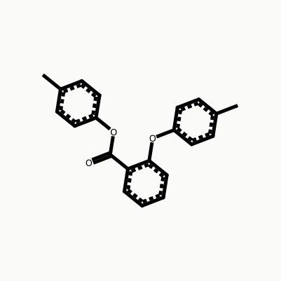 Cc1ccc(OC(=O)c2ccccc2Oc2ccc(C)cc2)cc1